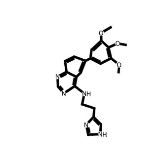 COc1cc(-c2ccc3ncnc(NCCc4c[nH]cn4)c3c2)cc(OC)c1OC